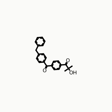 CC(C)(O)C(=O)c1ccc(C(=O)c2ccc(Cc3ccccc3)cc2)cc1